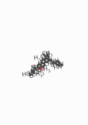 CC(C)C1=C2[C@H]3CC[C@@H]4[C@@]5(C)CC[C@H](OC(=O)[C@H]6C[C@@H](C(=O)O)C6(C)C)C(C)(C)[C@@H]5CC[C@@]4(C)[C@]3(C)CC[C@@]2(CCNC(=O)c2ccc3nc[nH]c3c2)CC1=O